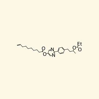 C=CCCCCCCCC(=O)Oc1cnc(-c2ccc(CCC(C)OC(=O)CC)cc2)nc1